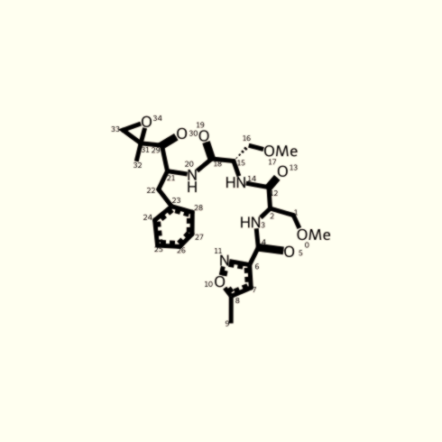 COCC(NC(=O)c1cc(C)on1)C(=O)N[C@@H](COC)C(=O)NC(Cc1ccccc1)C(=O)C1(C)CO1